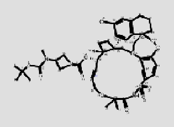 CN(C(=O)OC(C)(C)C)C1CN(C(=O)O[C@H]2/C=C/COC(C)(C)C(=O)NS(=O)(=O)c3ccc4c(c3)N(C[C@@H]3CC[C@H]32)C[C@@]2(CCCc3cc(Cl)ccc32)CO4)C1